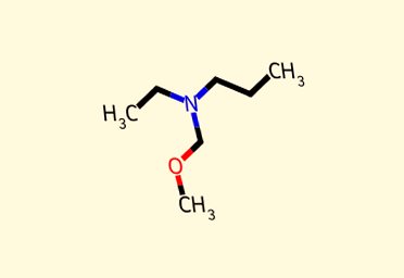 CCCN(CC)COC